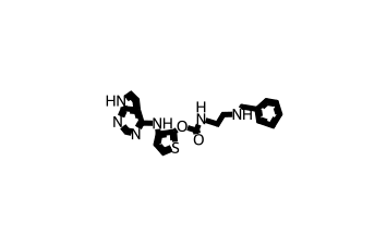 O=C(NCCNCc1ccccc1)Oc1sccc1Nc1ncnc2[nH]ccc12